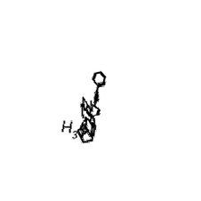 CN1C2CCC1CN(c1ccc(C#Cc3ccccc3)nn1)CC2